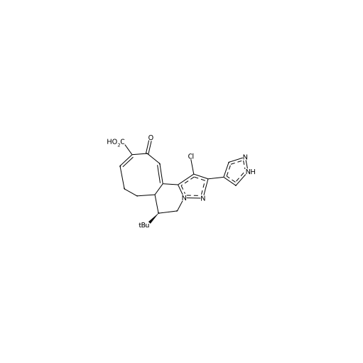 CC(C)(C)[C@@H]1Cn2nc(-c3cn[nH]c3)c(Cl)c2/C2=C/C(=O)/C(C(=O)O)=C\CCC21